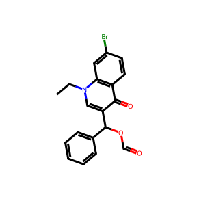 CCn1cc(C(OC=O)c2ccccc2)c(=O)c2ccc(Br)cc21